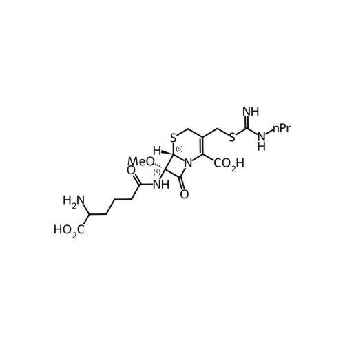 CCCNC(=N)SCC1=C(C(=O)O)N2C(=O)[C@](NC(=O)CCCC(N)C(=O)O)(OC)[C@@H]2SC1